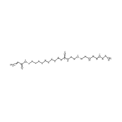 C=CC(=O)OCCCCCCCCCCCC(=O)OCCOCCOCCOCCO